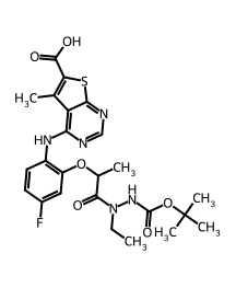 CCN(NC(=O)OC(C)(C)C)C(=O)C(C)Oc1cc(F)ccc1Nc1ncnc2sc(C(=O)O)c(C)c12